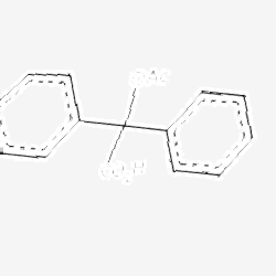 CC(=O)OC(C(=O)O)(c1ccccc1)c1ccccc1